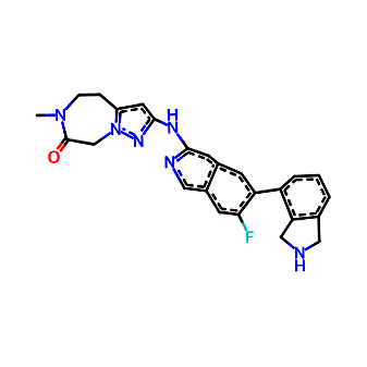 CN1CCc2cc(Nc3cc4cc(-c5cccc6c5CNC6)c(F)cc4cn3)nn2CC1=O